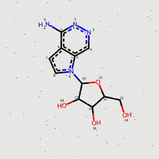 Nc1nncc2c1ccn2C1OC(CO)C(O)C1O